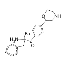 CC(C)(C)C(N)(Cc1ccccc1)C(=O)c1ccc(C2CNCCO2)cc1